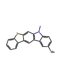 Cn1c2ccc(C(C)(C)C)cc2c2cc3c(cc21)sc1ccccc13